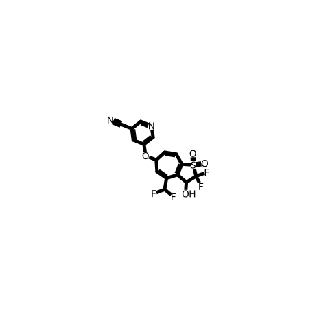 N#Cc1cncc(OC2C=CC3=C(C(C(F)F)=C2)C(O)C(F)(F)S3(=O)=O)c1